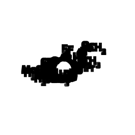 C=CC(=O)N1CC[C@H](C(=O)N(C)[C@H](C(=O)N[C@H]2Cc3cc(cc(C(F)F)c3)-c3ccc4c(c3)c(c(/C(C=C)=C(/N=C\C)[C@H](C)OC)n4CC(F)(F)F)CC(C)(C)COC[C@@]3(C=O)CCCN(N3)C2=O)C(C)C)C1